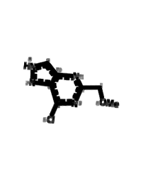 COCc1nc(Cl)c2n[nH]cc2n1